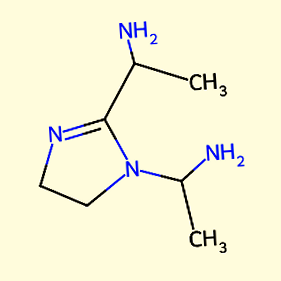 CC(N)C1=NCCN1C(C)N